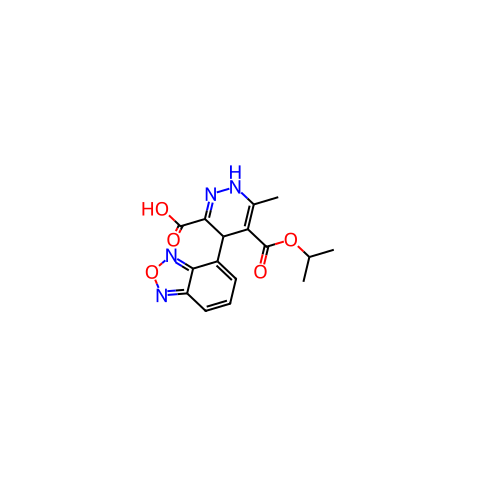 CC1=C(C(=O)OC(C)C)C(c2cccc3nonc23)C(C(=O)O)=NN1